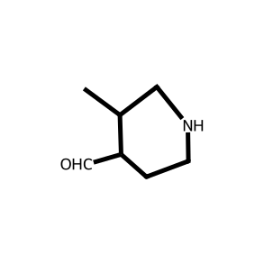 CC1CNCCC1C=O